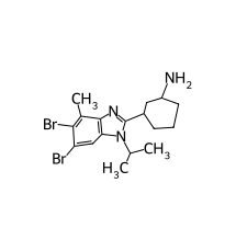 Cc1c(Br)c(Br)cc2c1nc(C1CCCC(N)C1)n2C(C)C